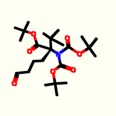 CC(C)(C)OC(=O)N(C(=O)OC(C)(C)C)[C@](CCCC=O)(C(=O)OC(C)(C)C)C(C)(C)C